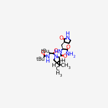 CC(C)(C)C(=O)N[C@H](C(=O)N1C[C@H]2[C@@H]([C@H]1C(=O)N[C@@H](C[C@@H]1CCNC1=O)C(N)=O)C2(C)C)C(C)(C)C